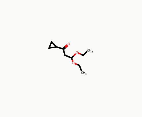 CCOC(CC(=O)C1CC1)OCC